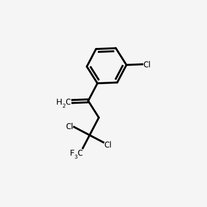 C=C(CC(Cl)(Cl)C(F)(F)F)c1cccc(Cl)c1